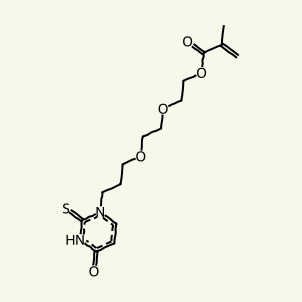 C=C(C)C(=O)OCCOCCOCCCn1ccc(=O)[nH]c1=S